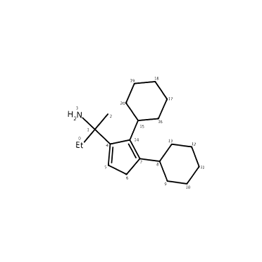 CCC(C)(N)C1=CCC(C2CCCCC2)=C1C1CCCCC1